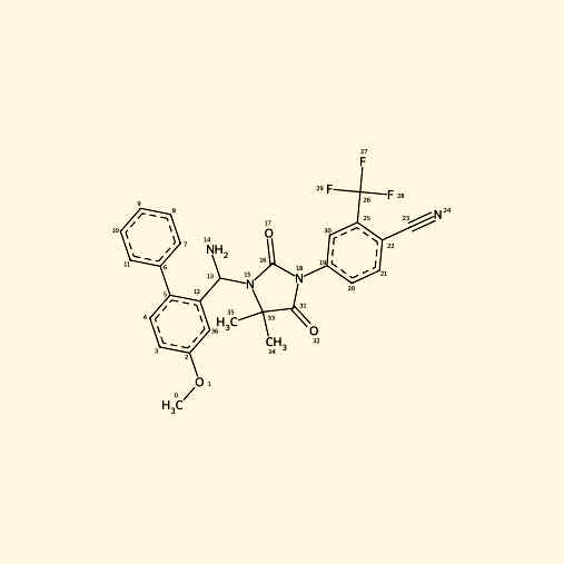 COc1ccc(-c2ccccc2)c(C(N)N2C(=O)N(c3ccc(C#N)c(C(F)(F)F)c3)C(=O)C2(C)C)c1